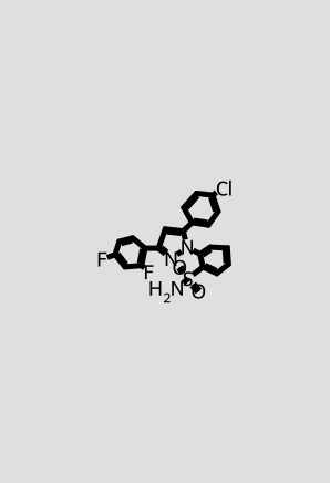 NS(=O)(=O)c1ccccc1-n1nc(-c2ccc(F)cc2F)cc1-c1ccc(Cl)cc1